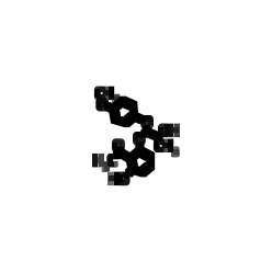 COc1ccc(OC(Oc2cccc(O)c2C(C)=O)C(C)O)cc1